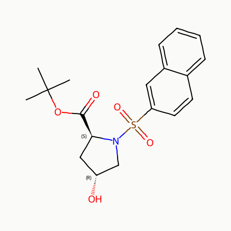 CC(C)(C)OC(=O)[C@@H]1C[C@@H](O)CN1S(=O)(=O)c1ccc2ccccc2c1